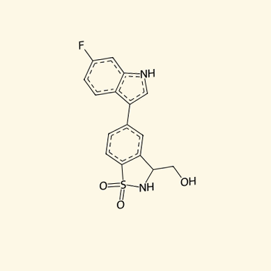 O=S1(=O)NC(CO)c2cc(-c3c[nH]c4cc(F)ccc34)ccc21